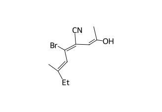 CC/C(C)=C/C(Br)=C(C#N)\C=C(/C)O